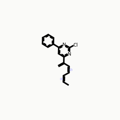 C=C(/C=C\C=C/C)c1cc(-c2ccccc2)nc(Cl)n1